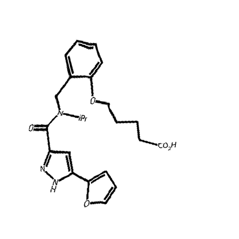 CC(C)N(Cc1ccccc1OCCCCC(=O)O)C(=O)c1cc(-c2ccco2)[nH]n1